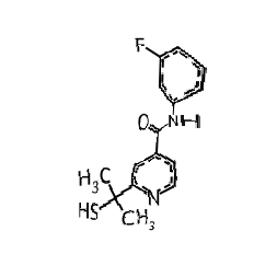 CC(C)(S)c1cc(C(=O)Nc2cccc(F)c2)ccn1